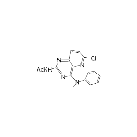 CC(=O)Nc1nc(N(C)c2ccccc2)c2nc(Cl)ccc2n1